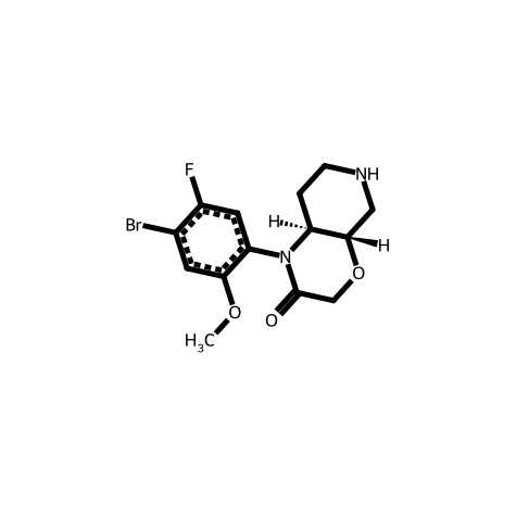 COc1cc(Br)c(F)cc1N1C(=O)CO[C@H]2CNCC[C@@H]21